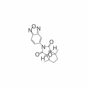 CC12CCC(C)(O1)[C@H]1C(=O)N(c3ccc4nonc4c3)C(=O)[C@H]12